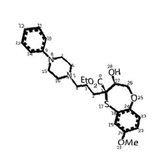 CCOC(=O)[C@]1(CCCN2CCN(c3ccccc3)CC2)Sc2cc(OC)ccc2OC[C@@H]1O